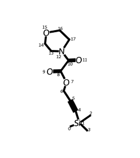 C[Si](C)(C)C#CCOC(=O)C(=O)N1CCOCC1